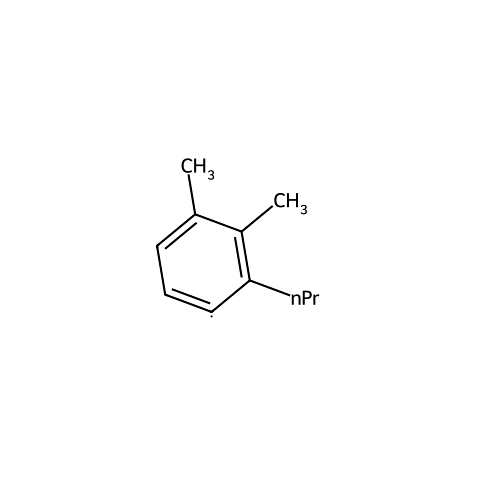 CCCc1[c]ccc(C)c1C